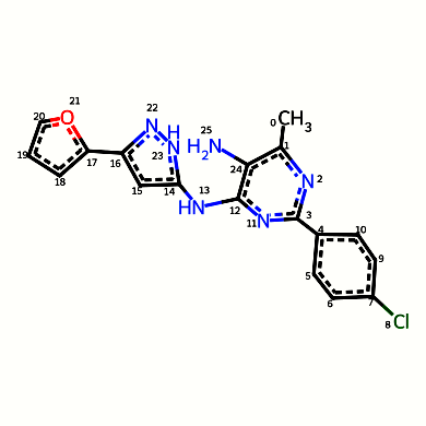 Cc1nc(-c2ccc(Cl)cc2)nc(Nc2cc(-c3ccco3)n[nH]2)c1N